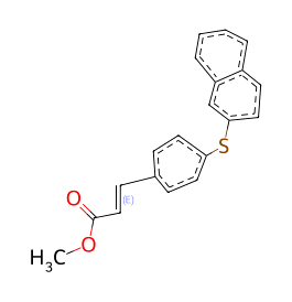 COC(=O)/C=C/c1ccc(Sc2ccc3ccccc3c2)cc1